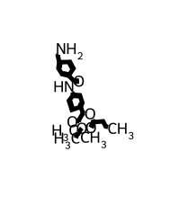 CCCC(=O)OC(C(=O)OC(C)(C)C)c1ccc(NC(=O)c2ccc(CN)cc2)cc1